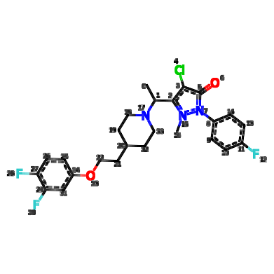 CC(c1c(Cl)c(=O)n(-c2ccc(F)cc2)n1C)N1CCC(CCOc2ccc(F)c(F)c2)CC1